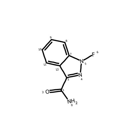 NC(=O)c1nn(F)c2ccccc12